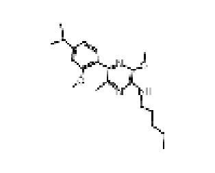 CCCCCNc1nc(C)c(-c2ccc(C(C)C)cc2OC)nc1OC